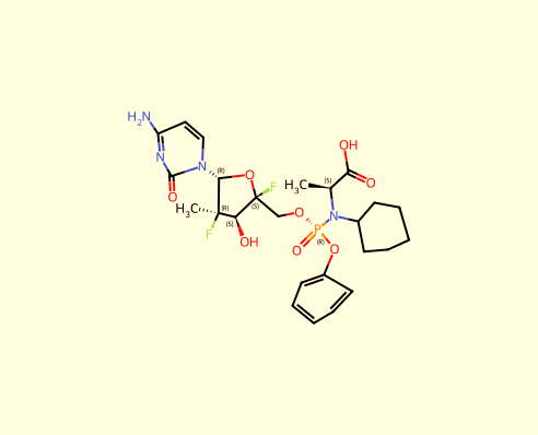 C[C@@H](C(=O)O)N(C1CCCCC1)[P@@](=O)(OC[C@@]1(F)O[C@@H](n2ccc(N)nc2=O)[C@](C)(F)[C@@H]1O)Oc1ccccc1